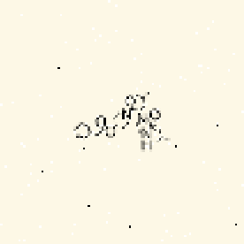 CC(C)CC(C(=O)N1CCC(OC(=O)Cc2ccccc2)CC1)N1CCN[C@@H](CC(C)C)C1=O